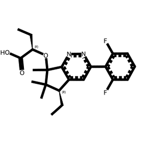 CC[C@@H]1c2cc(-c3c(F)cccc3F)nnc2C(C)(O[C@H](CC)C(=O)O)C1(C)C